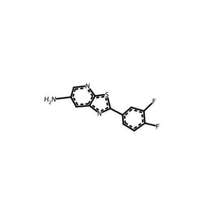 Nc1cnc2sc(-c3ccc(F)c(F)c3)nc2c1